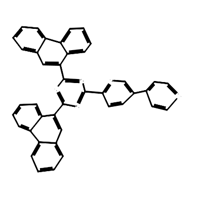 c1ccc2c(c1)cc(-c1nc(-c3ccc(-c4ccncc4)cn3)nc(-c3cc4ccccc4c4ccccc34)n1)c1ccccc12